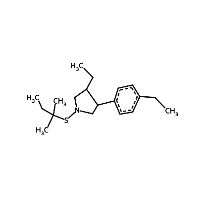 CCc1ccc(C2CN(SC(C)(C)CC)CC2CC)cc1